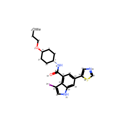 COCCO[C@H]1CC[C@H](NC(=O)c2cc(-c3cncs3)cc3[nH]cc(I)c23)CC1